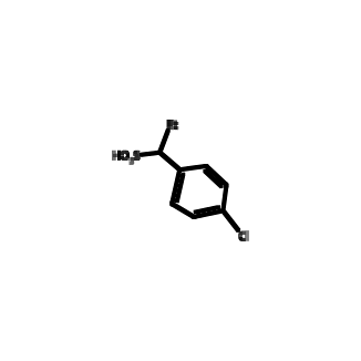 CCC(c1ccc(Cl)cc1)S(=O)(=O)O